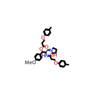 COc1ccc(C(OC(=O)CCOc2ccc(C)cc2)[C@@H](CN2CCCC2)N[C@@H](O)CCOc2ccc(C)cc2)cc1